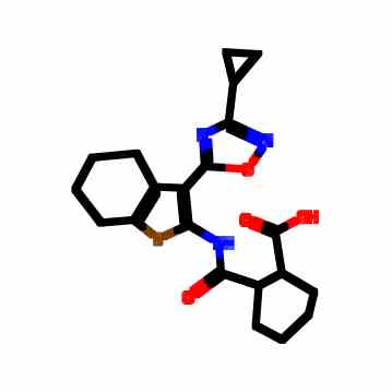 O=C(O)C1CCCCC1C(=O)Nc1sc2c(c1-c1nc(C3CC3)no1)CCCC2